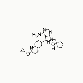 Nc1ncnc2c1c(-c1ccc3nc(OC4CC4)ccc3c1)nn2CC1(O)CCCC1